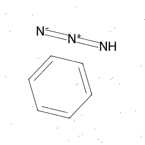 [N-]=[N+]=N.c1ccccc1